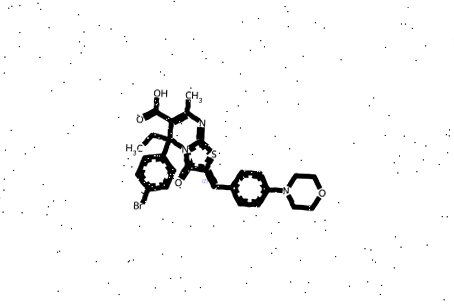 CCC1(c2ccc(Br)cc2)C(C(=O)O)=C(C)N=c2s/c(=C\c3ccc(N4CCOCC4)cc3)c(=O)n21